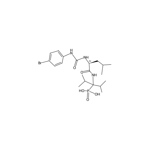 CC(C)C[C@H](NC(=O)Nc1ccc(Br)cc1)C(=O)NC(C(C)C)(C(C)C)P(=O)(O)O